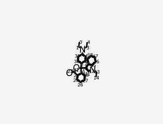 CCN(CC)c1ccc(C2(c3cn(CC)c4ccccc34)OC(=O)c3ccccc32)cc1